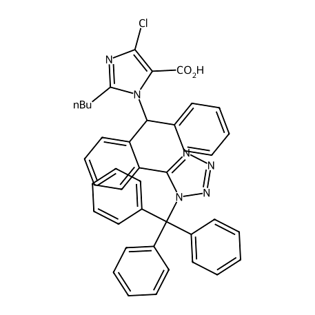 CCCCc1nc(Cl)c(C(=O)O)n1C(c1ccccc1)c1ccccc1-c1nnnn1C(c1ccccc1)(c1ccccc1)c1ccccc1